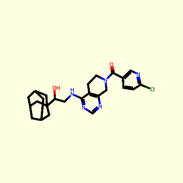 O=C(c1ccc(Cl)nc1)N1CCc2c(ncnc2NCC(O)C23CC4CC(CC(C4)C2)C3)C1